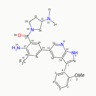 COc1ccccc1-c1c[nH]c2ncc(-c3cc(C(=O)N4CCC(N(C)C)C4)c(N)c(C(F)(F)F)c3)cc12